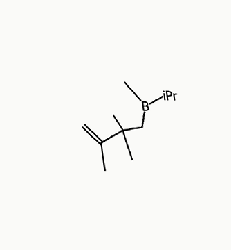 C=C(C)C(C)(C)CB(C)C(C)C